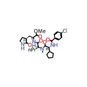 CCC[C@@H](C(=O)N[C@@H](C[C@@H]1CCNC1=O)C(=O)OC)N(C)C(=O)[C@H](NC(=O)c1ccc(Cl)cc1)C1CCCC1